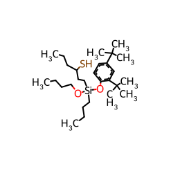 CCCCO[Si](CCCC)(CCC(S)CCC)Oc1ccc(C(C)(C)C)cc1C(C)(C)C